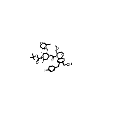 COC[C@H]1COc2nc(CO)c(Cc3ccc(F)cc3)cc2N1C(=O)CN1C[C@@H](C)N(C(=O)OC(C)(C)C)C[C@@H]1CN1[C@H](C)COC[C@H]1C